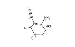 CC1C(C#N)=C(N)CCN1C.Cl